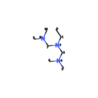 CCN(CN(C)C)CN(C)C